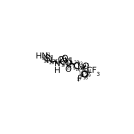 O=C(CN1C(=O)SC(=C2CCN(C(=O)c3cc(F)ccc3C(F)(F)F)CC2)C1=O)NCCN1CCNCC1